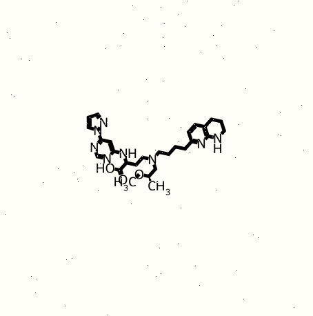 CO[C@H](C)CN(CCCCc1ccc2c(n1)NCCC2)CCC(Nc1cc(-n2cccn2)ncn1)C(=O)O